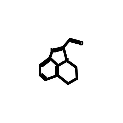 O=Cc1nc2cccc3c2n1CCC3